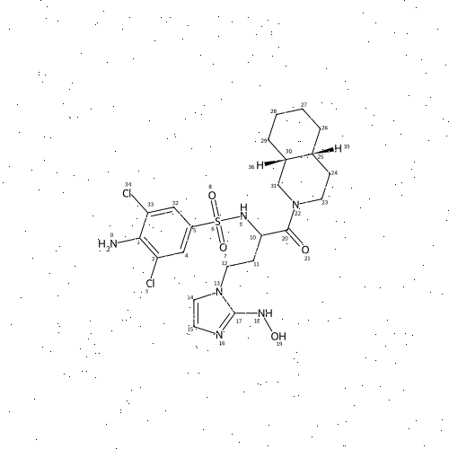 Nc1c(Cl)cc(S(=O)(=O)NC(CCn2ccnc2NO)C(=O)N2CC[C@H]3CCCC[C@H]3C2)cc1Cl